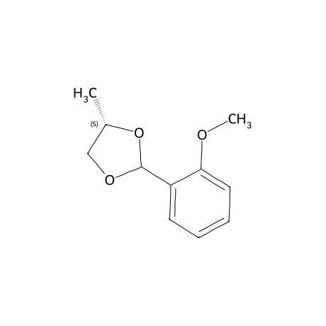 COc1ccccc1C1OC[C@H](C)O1